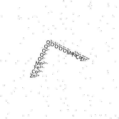 [Co+2].[Co+2].[Fe+3].[Fe+3].[Mn+2].[Mn+2].[O-2].[O-2].[O-2].[O-2].[O-2].[O-2].[O-2].[O-2].[O-2].[Zn+2].[Zn+2]